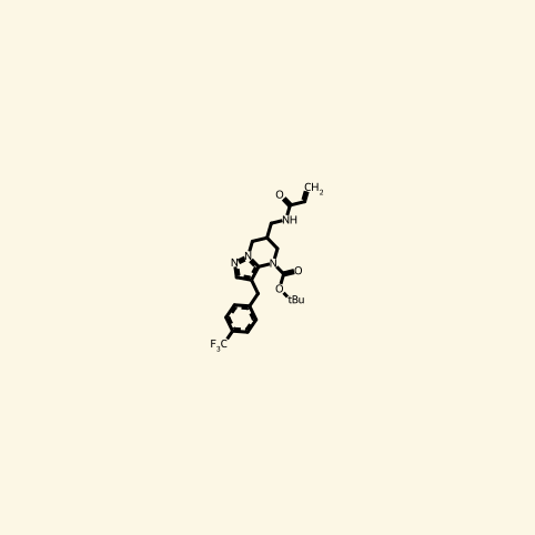 C=CC(=O)NCC1CN(C(=O)OC(C)(C)C)c2c(Cc3ccc(C(F)(F)F)cc3)cnn2C1